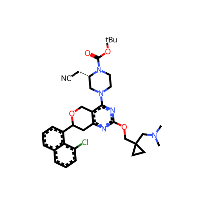 CN(C)CC1(COc2nc3c(c(N4CCN(C(=O)OC(C)(C)C)[C@@H](CC#N)C4)n2)COC(c2cccc4cccc(Cl)c24)C3)CC1